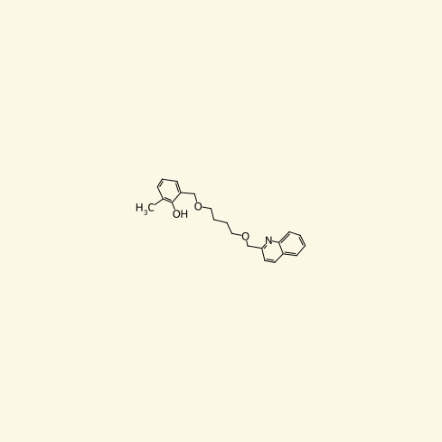 Cc1cccc(COCCCCOCc2ccc3ccccc3n2)c1O